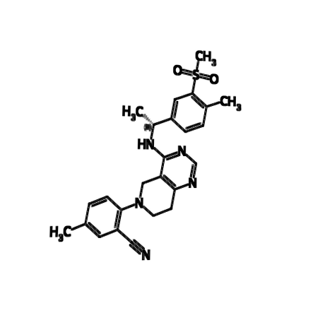 Cc1ccc(N2CCc3ncnc(N[C@H](C)c4ccc(C)c(S(C)(=O)=O)c4)c3C2)c(C#N)c1